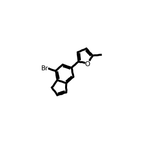 Cc1ccc(-c2cc(Br)c3c(c2)C=CC3)o1